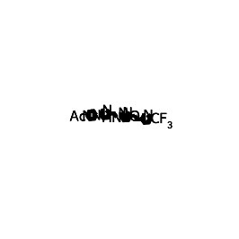 CC(=O)N1CCN(c2ccc(CNc3ccc(OCc4ccc(C(F)(F)F)nc4)nn3)nc2)CC1